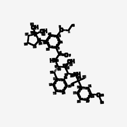 CCOc1cc(C(=O)N[C@@H](Cc2ccccc2)[C@@H](O)CNC(C)(C)c2cccc(OC)c2)cc(N2CCCS2(O)O)c1